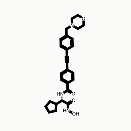 O=C(N[C@H](C(=O)NO)C1CCCC1)c1ccc(C#Cc2ccc(CN3CCOCC3)cc2)cc1